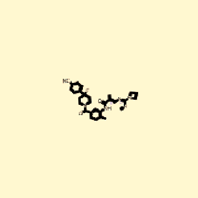 C=N/C(=N\C=C(/C)C(=O)Nc1cc(C(=O)N2CCC(F)(c3ccc(C#N)cc3)CC2)ccc1C)N1CCC1